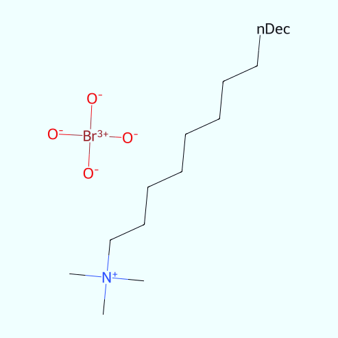 CCCCCCCCCCCCCCCCCC[N+](C)(C)C.[O-][Br+3]([O-])([O-])[O-]